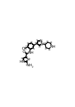 Nc1nc(C(=O)Nc2cc(-c3cnn(C4CCNCC4)c3)ccc2Cl)c[nH]1